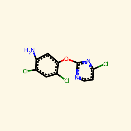 Nc1cc(Oc2nccc(Cl)n2)c(Cl)cc1Cl